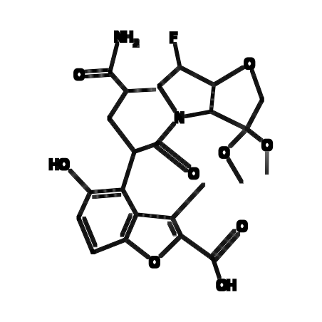 COC1(OC)COC2C(F)CN(C(=O)C(CC(C)C(N)=O)c3c(O)ccc4oc(C(=O)O)c(C)c34)C21